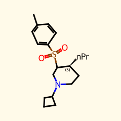 CCC[C@H]1CCN(C2CCC2)CC1S(=O)(=O)c1ccc(C)cc1